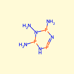 Nn1p(N)np[nH]p1N